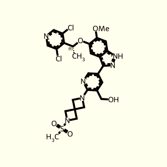 COc1cc2[nH]nc(-c3cnc(N4CC5(C4)CN(S(C)(=O)=O)C5)c(CO)c3)c2cc1O[C@H](C)c1c(Cl)cncc1Cl